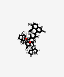 BC12CCC(O)(CN(c3nc(CCC45CCCN4CCC5)nc4c(F)c(-c5cc(C)cc6ccc(F)c(C#C)c56)ncc34)C1)N2CC1=C(C)CC(=C)C1